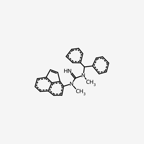 CN(C(=N)N(C)C(c1ccccc1)c1ccccc1)c1ccc2cccc3c2c1C=C3